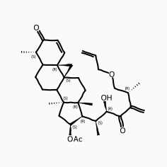 C=CCOC[C@H](C)C(=C)C(=O)[C@H](O)[C@@H](C)[C@H]1[C@@H](OC(C)=O)C[C@@]2(C)C3CCC4[C@H](C)C(=O)C=C[C@@]45C[C@@]35CC[C@]12C